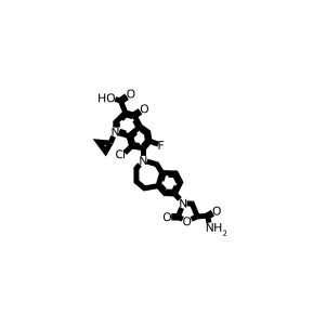 NC(=O)C1CN(c2ccc3c(c2)CCCN(c2c(F)cc4c(=O)c(C(=O)O)cn(C5CC5)c4c2Cl)C3)C(=O)O1